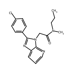 CCCN(C)C(=O)Cn1c(-c2ccc(Cl)cc2)nc2cccnc21